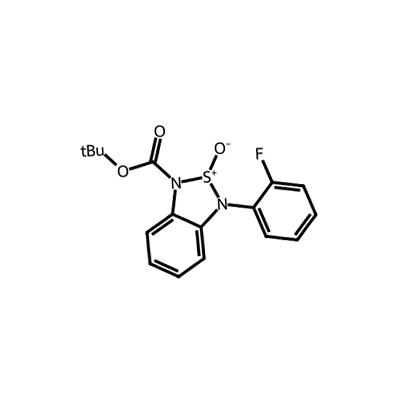 CC(C)(C)OC(=O)N1c2ccccc2N(c2ccccc2F)[S+]1[O-]